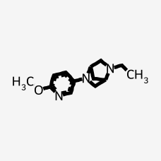 CCN1CC2CC1CN2c1ccc(OC)nc1